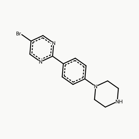 Brc1cnc(-c2ccc(N3CCNCC3)cc2)nc1